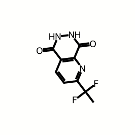 CC(F)(F)c1ccc2c(=O)[nH][nH]c(=O)c2n1